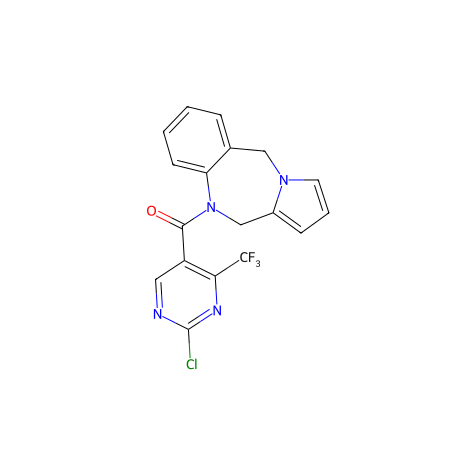 O=C(c1cnc(Cl)nc1C(F)(F)F)N1Cc2cccn2Cc2ccccc21